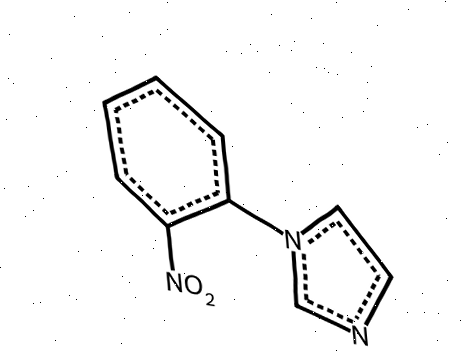 O=[N+]([O-])c1ccccc1-n1ccnc1